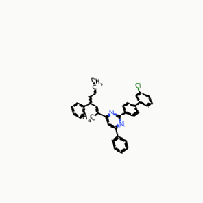 C=C=C/C=C(\C=C(/C)c1cc(-c2ccccc2)nc(-c2ccc(-c3cccc(Cl)c3)cc2)n1)c1ccccc1